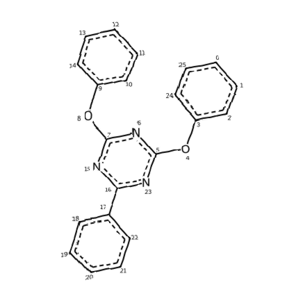 c1ccc(Oc2nc(Oc3ccccc3)nc(-c3ccccc3)n2)cc1